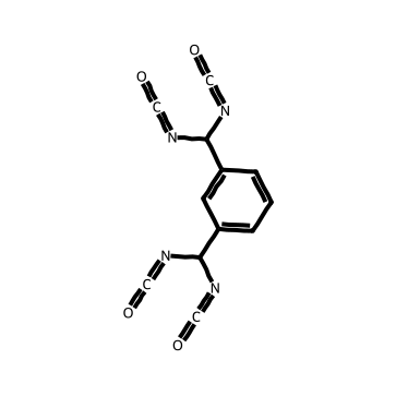 O=C=NC(N=C=O)c1cccc(C(N=C=O)N=C=O)c1